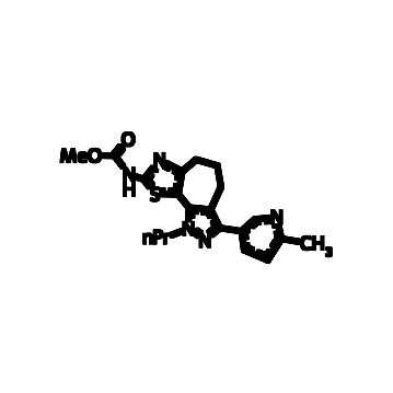 CCCn1nc(-c2ccc(C)nc2)c2c1-c1sc(NC(=O)OC)nc1CCC2